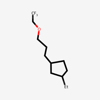 CCC1CCC(CCCOCC(F)(F)F)C1